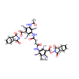 CCC(=O)Nc1c(I)c(NC(=O)CCC(=O)Nc2c(I)c(NC(C)=O)c(I)c(C(=O)ON3C(=O)C4C5C=CC(C5)C4C3=O)c2I)c(I)c(C(=O)ON2C(=O)C3C4C=CC(C4)C3C2=O)c1I